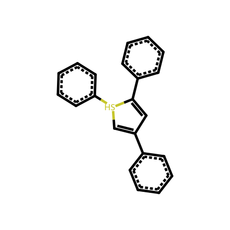 C1=C(c2ccccc2)C=C(c2ccccc2)[SH]1c1ccccc1